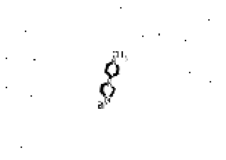 CN1CCC(N2CCN(Br)CC2)CC1